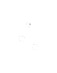 Fc1ccccc1CNc1nc(OCc2ccco2)ncc1F